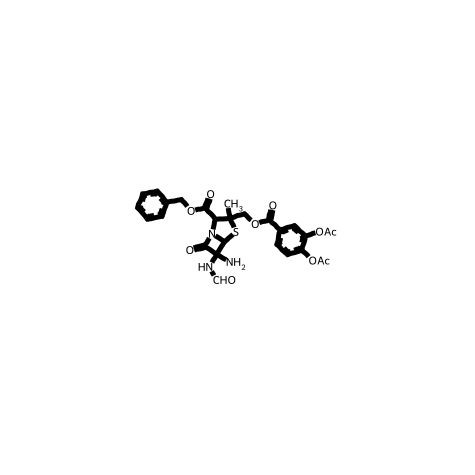 CC(=O)Oc1ccc(C(=O)OCC2(C)SC3N(C(=O)C3(N)NC=O)C2C(=O)OCc2ccccc2)cc1OC(C)=O